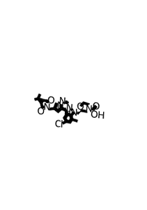 Cc1cc(Cl)cc(-c2ncnn3cc(CN4C(=O)C5C(C4=O)C5(C)C)cc23)c1NC[C@@H]1CN(C(=O)O)CCO1